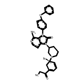 N#CCC(=O)C1=CC=C[C@@](Br)(N2CCCC(n3c(=O)n(-c4ccc(Oc5ccccc5)cc4)c4c(N)nccc43)C2)C1